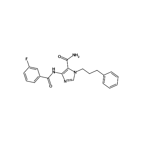 NC(=O)c1c(NC(=O)c2cccc(F)c2)ncn1CCCc1ccccc1